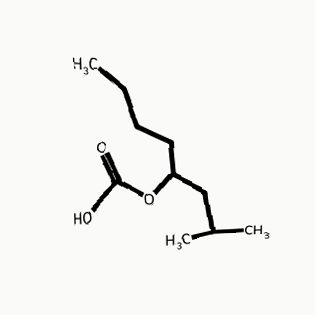 CCCCC(CC(C)C)OC(=O)O